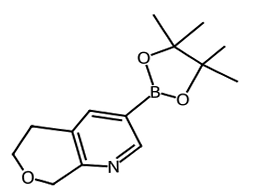 CC1(C)OB(c2cnc3c(c2)CCOC3)OC1(C)C